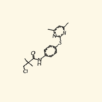 Cc1cc(C)nc(Sc2ccc(NC(=O)C(C)(C)CCl)cc2)n1